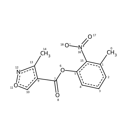 Cc1cccc(OC(=O)c2conc2C)c1[N+](=O)[O-]